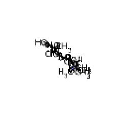 CO/N=c1/c2nc(-c3cccc(-c4cccc5c4CC[C@@H]5Oc4nc(OC)c(CN5CC[C@@H](O)C5)cc4Cl)c3Cl)oc2c(C#N)cn1CC(C)(C)O